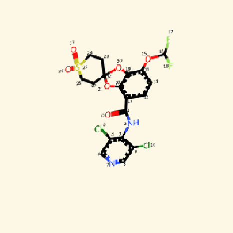 O=C(Nc1c(Cl)cncc1Cl)c1ccc(OC(F)F)c2c1OC1(CCS(=O)(=O)CC1)O2